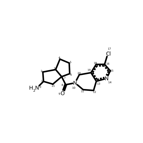 NC1CC2CCCC2(C(=O)N2CCc3ncc(Cl)cc3C2)C1